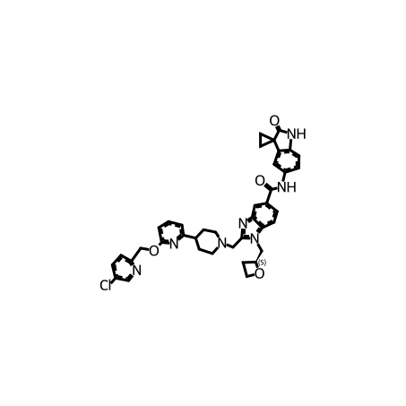 O=C(Nc1ccc2c(c1)C1(CC1)C(=O)N2)c1ccc2c(c1)nc(CN1CCC(c3cccc(OCc4ccc(Cl)cn4)n3)CC1)n2C[C@@H]1CCO1